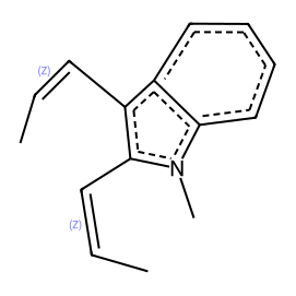 C/C=C\c1c(/C=C\C)n(C)c2ccccc12